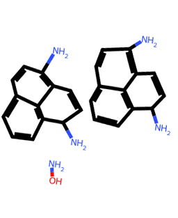 NO.Nc1ccc2cccc3c2c1C=CC3N.Nc1ccc2cccc3c2c1C=CC3N